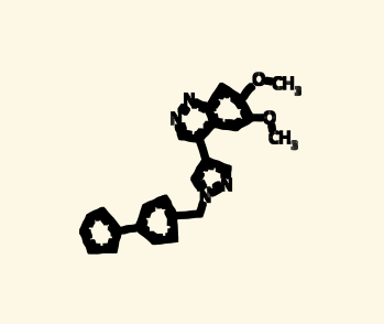 COc1cc2nncc(-c3cnn(Cc4ccc(-c5ccccc5)cc4)c3)c2cc1OC